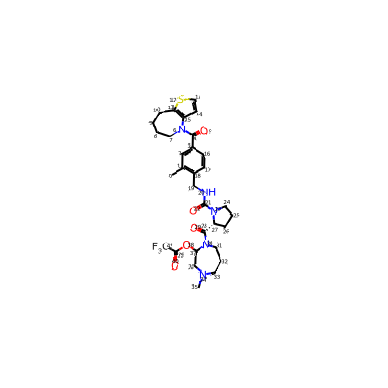 Cc1cc(C(=O)N2CCCCc3sccc32)ccc1CNC(=O)N1CCC[C@@H]1C(=O)N1CCCN(C)CC1OC(=O)C(F)(F)F